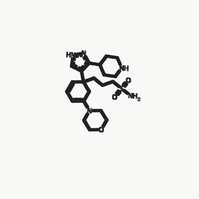 NS(=O)(=O)CCCC1(c2c[nH]nc2C2CCNCC2)C=CC=C(N2CCOCC2)C1